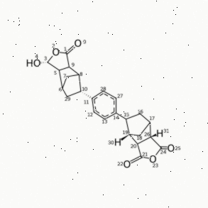 O=C1O[C@@H](O)C2C3CC(C12)[C@H](c1ccc(C2CC4C[C@@H]2C2C(=O)OC(=O)[C@@H]42)cc1)C3